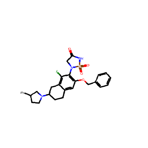 CC(C)C1CCN(C2CCc3cc(OCc4ccccc4)c(N4CC(=O)NS4(=O)=O)c(F)c3C2)C1